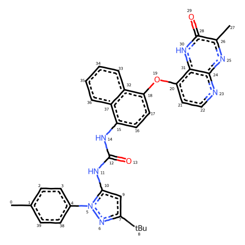 Cc1ccc(-n2nc(C(C)(C)C)cc2NC(=O)Nc2ccc(Oc3ccnc4nc(C)c(=O)[nH]c34)c3ccccc23)cc1